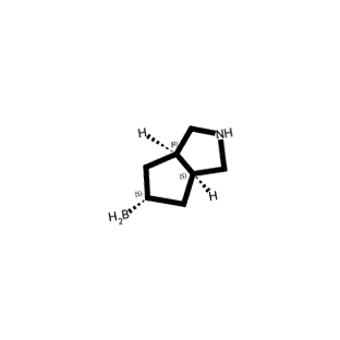 B[C@@H]1C[C@H]2CNC[C@H]2C1